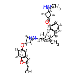 CCc1cc2cc(OC3CC(NCCCC(C)(C)Cc4cccc(OC5CC(NC)C5)c4)C3)ccc2o1